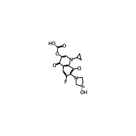 O=C(O)Oc1cn(C2CC2)c2c(Cl)c(N3CC[C@H](O)C3)c(F)cc2c1=O